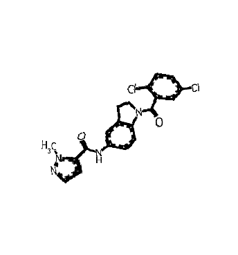 Cn1nccc1C(=O)Nc1ccc2c(c1)CCN2C(=O)c1cc(Cl)ccc1Cl